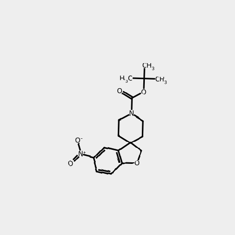 CC(C)(C)OC(=O)N1CCC2(CC1)COc1ccc([N+](=O)[O-])cc12